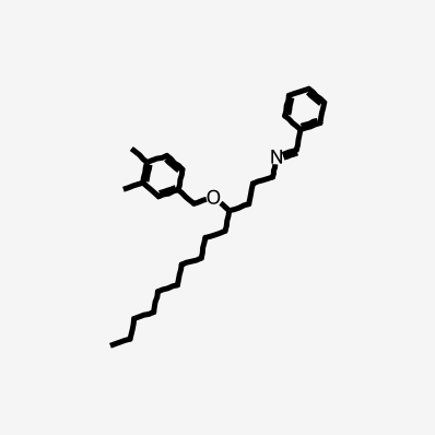 CCCCCCCCCCC(CCCN=Cc1ccccc1)OCc1ccc(C)c(C)c1